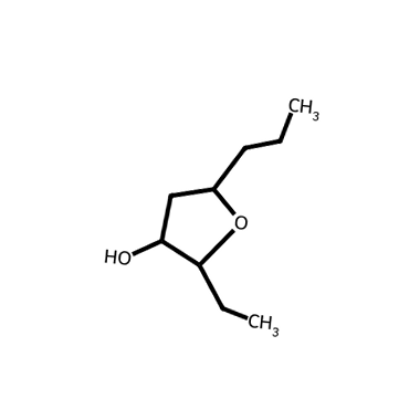 CCCC1CC(O)C(CC)O1